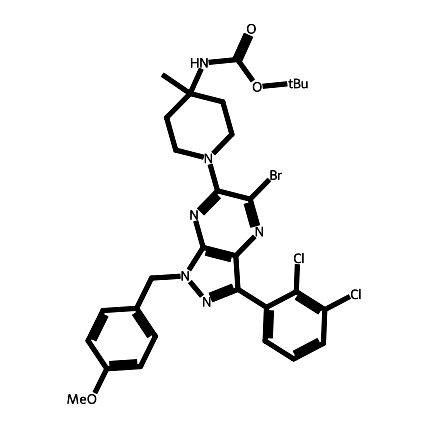 COc1ccc(Cn2nc(-c3cccc(Cl)c3Cl)c3nc(Br)c(N4CCC(C)(NC(=O)OC(C)(C)C)CC4)nc32)cc1